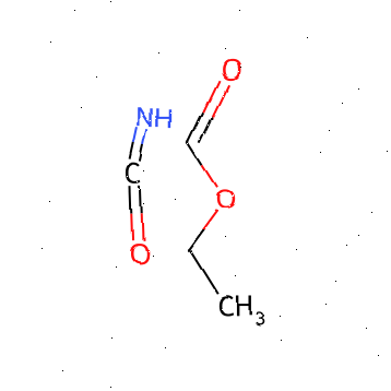 CCOC=O.N=C=O